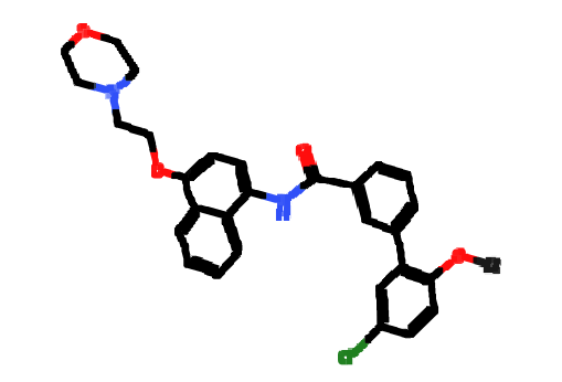 CCOc1ccc(Cl)cc1-c1cccc(C(=O)Nc2ccc(OCCN3CCOCC3)c3ccccc23)c1